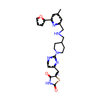 Cc1cc(CNCC2CCN(c3nccc(/C=C4/SC(=O)NC4=O)n3)CC2)nc(-c2ccco2)c1